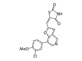 COc1ccc(-c2cncc3cc(C=C4SC(=O)NC4=O)oc23)cc1Cl